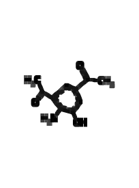 CC(=O)c1cc(O)c(N)c(C(C)=O)c1